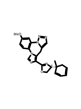 COc1ccc2c(c1)-n1nncc1Cc1c(C3=N[C@H](C4(C)C=CC=CC4)CO3)ncn1-2